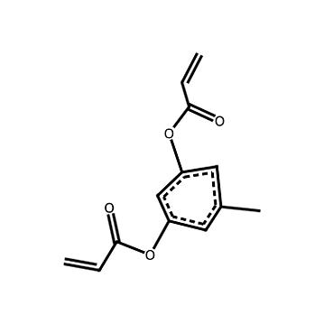 C=CC(=O)Oc1cc(C)cc(OC(=O)C=C)c1